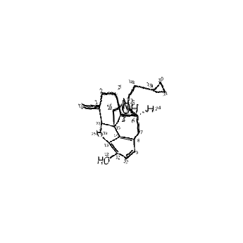 C=C1CC[C@@]2(O)[C@@H]3Cc4ccc(O)c5c4C2(CN3CC2CC2)[C@H]1O5